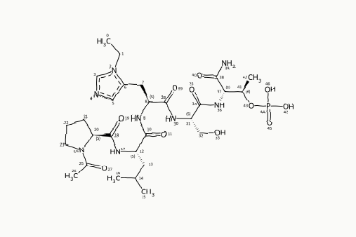 CCn1cncc1C[C@H](NC(=O)[C@H](CC(C)C)NC(=O)[C@@H]1CCCN1C(C)=O)C(=O)N[C@@H](CO)C(=O)N[C@H](C(N)=O)[C@@H](C)OP(=O)(O)O